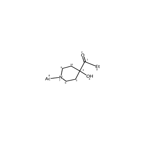 CCC(=O)C1(O)CCN(C(C)=O)CC1